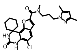 Cc1cc(C)n(CCCN(C)C(=O)c2cc3cc(Cl)c4c(c3o2)C2(CCCCC2)NC(=O)N4)n1